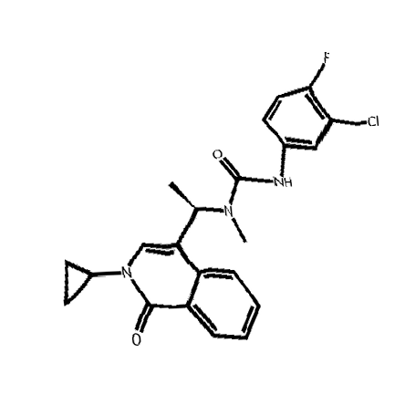 C[C@H](c1cn(C2CC2)c(=O)c2ccccc12)N(C)C(=O)Nc1ccc(F)c(Cl)c1